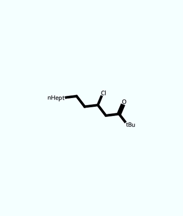 CCCCCCCCCC(Cl)CC(=O)C(C)(C)C